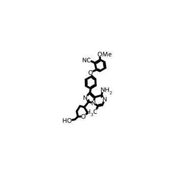 COc1cccc(Oc2ccc(-c3nc(C4CCC(CO)OC4)n4c(C)cnc(N)c34)cc2)c1C#N